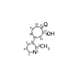 Cc1ncccc1-c1cccc(=O)c(O)c1